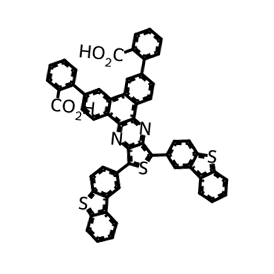 O=C(O)c1ccccc1-c1ccc2c(c1)c1cc(-c3ccccc3C(=O)O)ccc1c1nc3c(-c4ccc5sc6ccccc6c5c4)sc(-c4ccc5sc6ccccc6c5c4)c3nc21